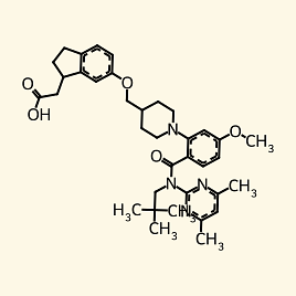 COc1ccc(C(=O)N(CC(C)(C)C)c2nc(C)cc(C)n2)c(N2CCC(COc3ccc4c(c3)C(CC(=O)O)CC4)CC2)c1